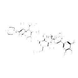 CC(O)C(C(O)C(CO)OSC1OC(CO)C(O)C(N(N)/C=C(\N)c2cc(F)c(F)c(F)c2)C1O)n1cc(N2CCOCC2)nn1